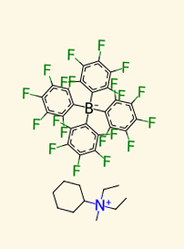 CC[N+](C)(CC)C1CCCCC1.Fc1c(F)c(F)c([B-](c2c(F)c(F)c(F)c(F)c2F)(c2c(F)c(F)c(F)c(F)c2F)c2c(F)c(F)c(F)c(F)c2F)c(F)c1F